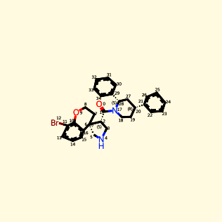 O=C([C@@H]1CNC[C@]12CCOc1c(Br)cccc12)N1CC[C@@H](c2ccccc2)C[C@H]1c1ccccc1